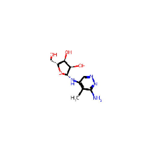 Cc1c(N[C@@H]2O[C@H](CO)[C@@H](O)[C@H]2O)cnnc1N